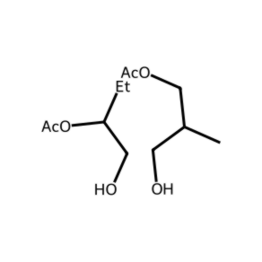 CC(=O)OCC(C)CO.CCC(CO)OC(C)=O